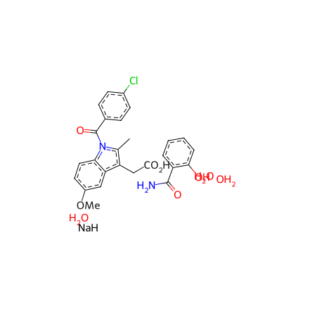 COc1ccc2c(c1)c(CC(=O)O)c(C)n2C(=O)c1ccc(Cl)cc1.NC(=O)c1ccccc1O.O.O.O.[NaH]